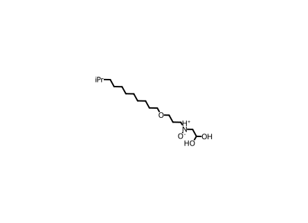 CC(C)CCCCCCCCCOCCC[NH+]([O-])CC(O)O